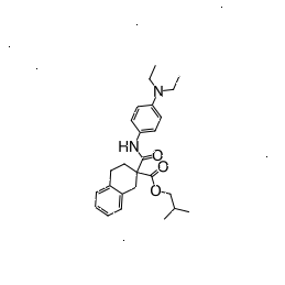 CCN(CC)c1ccc(NC(=O)C2(C(=O)OCC(C)C)CCc3ccccc3C2)cc1